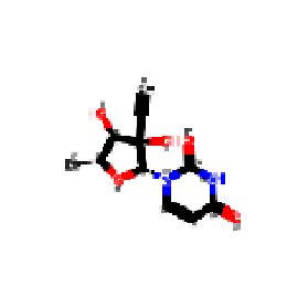 C#C[C@@]1(O)[C@H](O)[C@@H](CC)O[C@H]1n1ccc(=O)[nH]c1=O